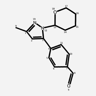 Cc1cc(-c2ccc(C=O)cc2)n(C2CCCCO2)n1